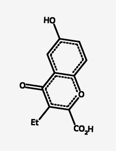 CCc1c(C(=O)O)oc2ccc(O)cc2c1=O